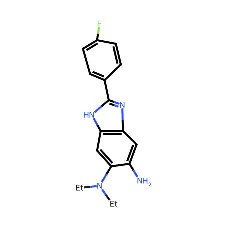 CCN(CC)c1cc2[nH]c(-c3ccc(F)cc3)nc2cc1N